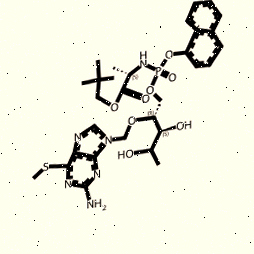 CSc1nc(N)nc2c1ncn2CO[C@H](COP(=O)(N[C@@H](C)C(=O)OCC(C)(C)C)Oc1cccc2ccccc12)[C@@H](O)C(C)O